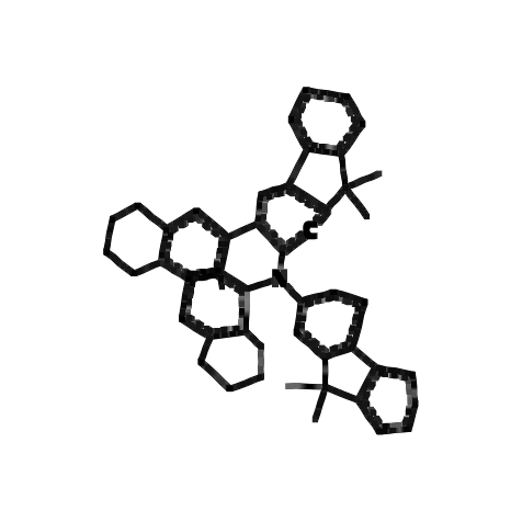 Cc1cc2c(cc1-c1cc3c(cc1N(c1ccc4c(c1)C(C)(C)c1ccccc1-4)c1cccc4c1CCCC4)C(C)(C)c1ccccc1-3)CCCC2